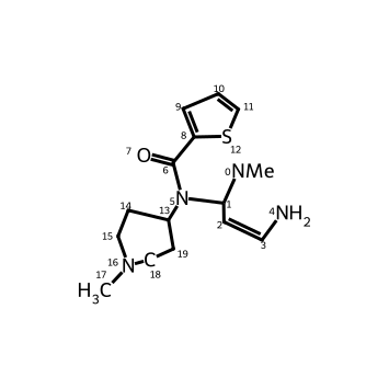 CNC(/C=C\N)N(C(=O)c1cccs1)C1CCN(C)CC1